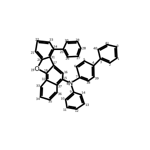 c1ccc(-c2ccc(N(c3ccccc3)c3cc4c(oc5cccc(-c6ccccc6)c54)c4ccccc34)cc2)cc1